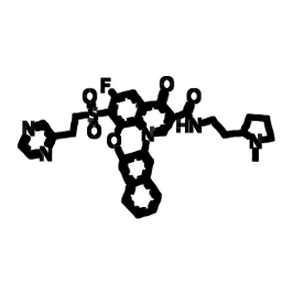 CN1CCCC1CCNC(=O)c1cn2c3c(c(S(=O)(=O)CCc4cnccn4)c(F)cc3c1=O)Oc1cc3ccccc3cc1-2